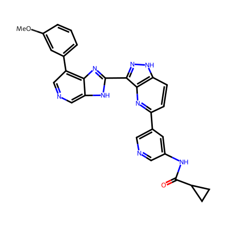 COc1cccc(-c2cncc3[nH]c(-c4n[nH]c5ccc(-c6cncc(NC(=O)C7CC7)c6)nc45)nc23)c1